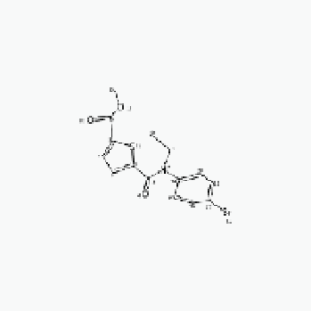 CCN(C(=O)c1ccc(C(=O)OC)s1)c1ccc(Br)cc1